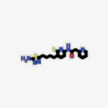 Nc1nnc(CCCCc2ccc(NC(=O)Cc3ccccn3)nc2F)s1